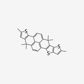 Cc1cc2c(s1)-c1ccc3c4c(ccc(c14)C2(C)C)-c1sc2cc(C)sc2c1C3(C)C